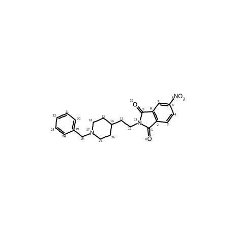 O=C1c2ccc([N+](=O)[O-])cc2C(=O)N1CCC1CCN(Cc2ccccc2)CC1